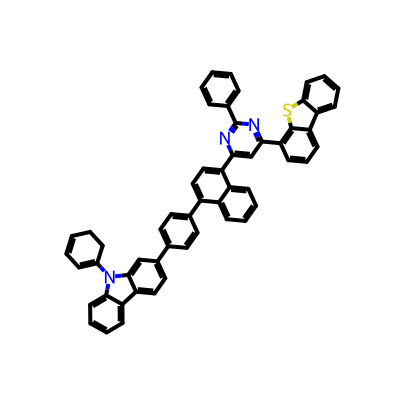 C1=CCCC(n2c3ccccc3c3ccc(-c4ccc(-c5ccc(-c6cc(-c7cccc8c7sc7ccccc78)nc(-c7ccccc7)n6)c6ccccc56)cc4)cc32)=C1